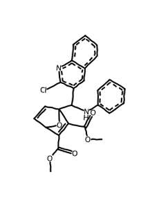 COC(=O)C1=C(C(=O)OC)C2(C(Nc3ccccc3)c3cc4ccccc4nc3Cl)C=CC1O2